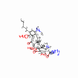 CCCCCc1cc(N(C)C)c2c(c1O)C(=O)C1=C(O)[C@]3(O)C(=O)CC(O)(CC(N)=O)[C@@H](N(C)C)[C@@H]3C[C@@H]1C2